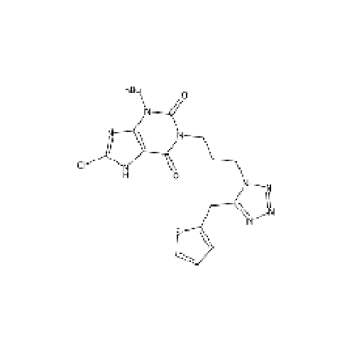 CCCCn1c(=O)n(CCCn2nnnc2Cc2cccs2)c(=O)c2[nH]c(Cl)nc21